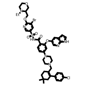 CCN1CCOCC1COc1ncc(S(=O)(=O)NC(=O)c2ccc(N3CCN(CC4=C(c5ccc(Cl)cc5)CC(C)(C)CC4)CC3)cc2Oc2cnc3[nH]ccc3c2)cc1Br